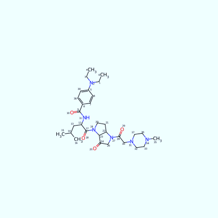 CCN(CC)c1ccc(C(=O)NC(CC(C)C)C(=O)N2CCC3C2C(=O)CN3C(=O)CN2CCN(C)CC2)cc1